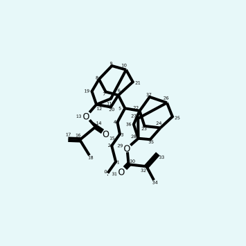 [CH2]CCCC[C](C12CC3CC(CC(OC(=O)C(=C)C)(C3)C1)C2)C12CC3CC(CC(OC(=O)C(=C)C)(C3)C1)C2